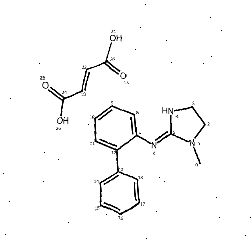 CN1CCNC1=Nc1ccccc1-c1ccccc1.O=C(O)C=CC(=O)O